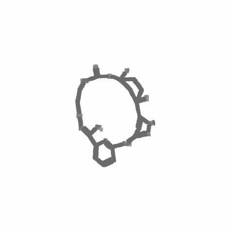 O=C1NCCO/N=C(\C(F)(F)F)c2cccc(n2)Nc2cc([nH]n2)[C@H]2CC[C@H](C2)O1